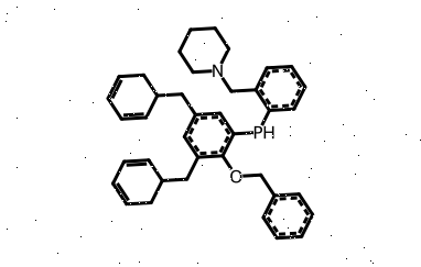 C1=CCC(Cc2cc(CC3C=CC=CC3)c(OCc3ccccc3)c(Pc3ccccc3CN3CCCCC3)c2)C=C1